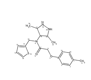 Cc1ccc(OCC(=O)N(Cc2cccs2)C2C(C)NNC2C)cc1